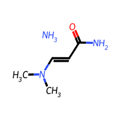 CN(C)C=CC(N)=O.N